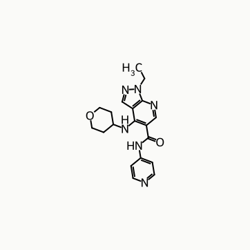 CCn1ncc2c(NC3CCOCC3)c(C(=O)Nc3ccncc3)cnc21